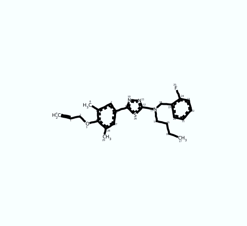 C=CCOc1c(C)cc(-c2nnc(N(CCCC)Cc3ccccc3F)s2)cc1C